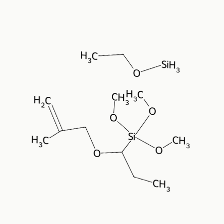 C=C(C)COC(CC)[Si](OC)(OC)OC.CCO[SiH3]